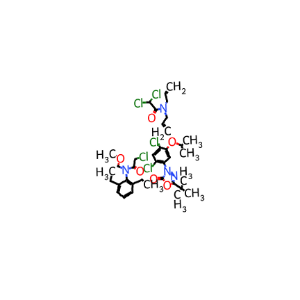 C=CCN(CC=C)C(=O)C(Cl)Cl.CC(C)Oc1cc(-n2nc(C(C)(C)C)oc2=O)c(Cl)cc1Cl.CCc1cccc(CC)c1N(COC)C(=O)CCl